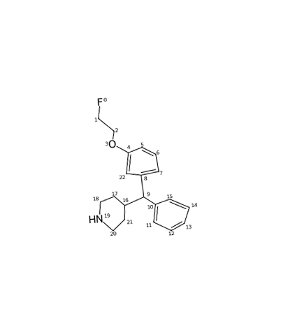 FCCOc1cccc(C(c2ccccc2)C2CCNCC2)c1